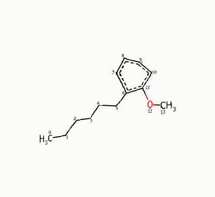 CCCCCCc1cc[c]cc1OC